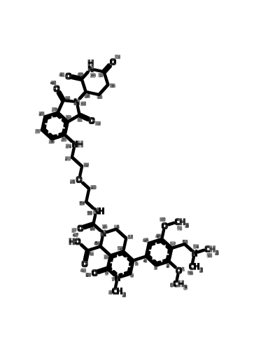 COc1cc(-c2cn(C)c(=O)c3c2CCN(C(=O)NCCOCCNc2cccc4c2C(=O)N(C2CCC(=O)NC2=O)C4=O)C3C(=O)O)cc(OC)c1CN(C)C